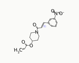 C=CC(=O)OC1CCN(C(=O)/C=C/c2cccc([N+](=O)[O-])c2)CC1